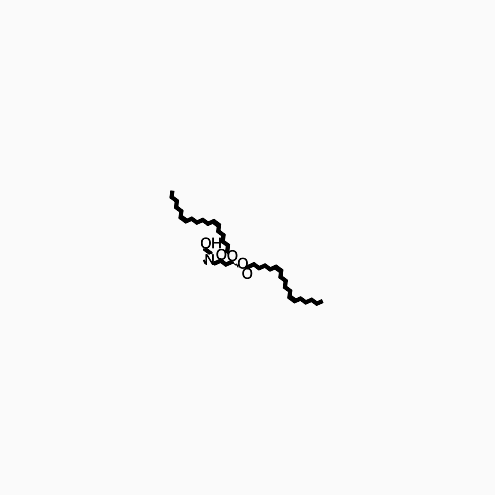 CCCCC/C=C\CCCC/C=C\CCCCC(=O)OC[C@H](CCCN(C)CCO)OC(=O)CCCC/C=C\CCCC/C=C\CCCCC